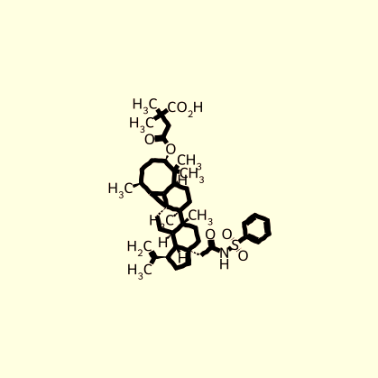 C=C(C)[C@@H]1CC[C@]2(CC(=O)NS(=O)(=O)c3ccccc3)CC[C@]3(C)[C@H](CC[C@@]45C6C4[C@@H](C)CC[C@H](OC(=O)CC(C)(C)C(=O)O)C(C)(C)[C@@H]6CC[C@]53C)[C@@H]12